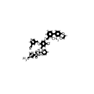 Cc1c(COc2cc(OCc3cncc(C#N)c3)c(CN3CCCC[C@H]3C(=O)NS(=O)(=O)c3cn(C)cn3)cc2Cl)cccc1-c1ccc2c(c1)OCCO2